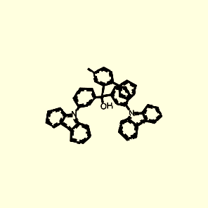 Cc1ccc(-c2ccccc2)c(C(O)(c2cccc(-n3c4ccccc4c4ccccc43)c2)c2cccc(-n3c4ccccc4c4ccccc43)c2)c1